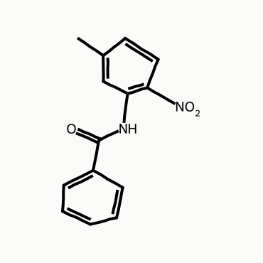 Cc1ccc([N+](=O)[O-])c(NC(=O)c2ccccc2)c1